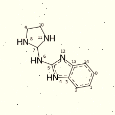 c1ccc2[nH]c(NC3NCCN3)nc2c1